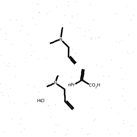 C=C(CCC)C(=O)O.C=CCN(C)C.C=CCN(C)C.Cl